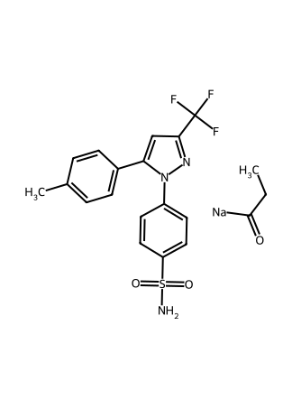 CC[C](=O)[Na].Cc1ccc(-c2cc(C(F)(F)F)nn2-c2ccc(S(N)(=O)=O)cc2)cc1